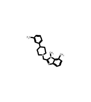 Cc1cccc2nc(CN3CCC(c4cccc(C(F)(F)F)c4)CC3)n(C)c12